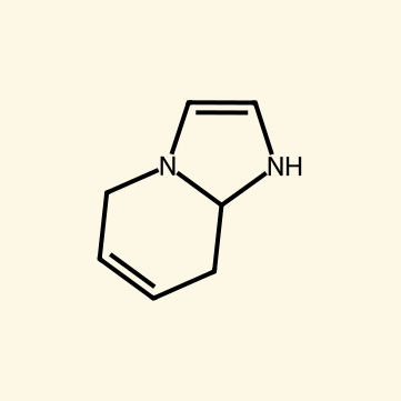 C1=CCN2C=CNC2C1